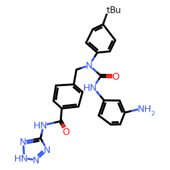 CC(C)(C)c1ccc(N(Cc2ccc(C(=O)Nc3nn[nH]n3)cc2)C(=O)Nc2cccc(N)c2)cc1